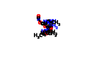 CC1CCC(OC(=O)N[C@H](C(=O)N2CC(Oc3cc(-n4ccc(NC(C)C)n4)nc4cc(OCCN5CCOCC5)ccc34)C[C@H]2C(N)=O)C(C)(C)C)C1